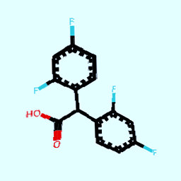 O=C(O)C(c1ccc(F)cc1F)c1ccc(F)cc1F